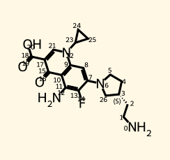 NCC[C@H]1CCN(c2cc3c(c(N)c2F)c(=O)c(C(=O)O)cn3C2CC2)C1